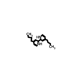 CCCCC1=CC(C2C=C(CCCC)C=CN2)NC=C1